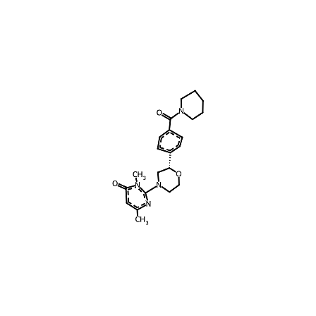 Cc1cc(=O)n(C)c(N2CCO[C@@H](c3ccc(C(=O)N4CCCCC4)cc3)C2)n1